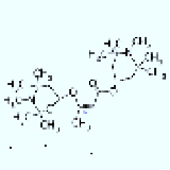 C/C(=C/C(=O)OC1CC(C)(C)N(C)C(C)(C)C1)OC1CC(C)(C)N(C)C(C)(C)C1